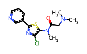 CN(C)CC(=O)N(C)c1sc(-c2cccnc2)nc1Cl